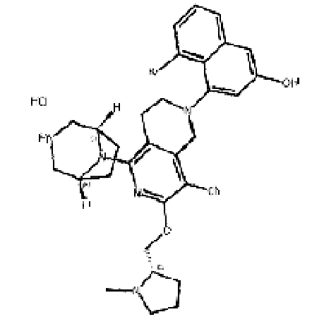 CN1CCC[C@H]1COc1nc(N2[C@@H]3CC[C@H]2CNC3)c2c(c1C#N)CN(c1cc(O)cc3cccc(Br)c13)CC2.Cl